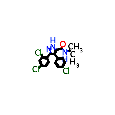 CC(C)NC(=O)c1[nH]nc(-c2ccc(Cl)cc2Cl)c1-c1ccc(Cl)cc1